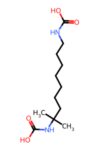 CC(C)(CCCCCCCNC(=O)O)NC(=O)O